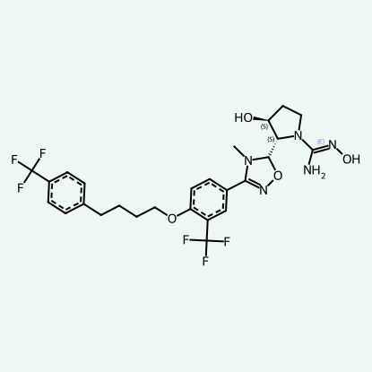 CN1C(c2ccc(OCCCCc3ccc(C(F)(F)F)cc3)c(C(F)(F)F)c2)=NOC1[C@@H]1[C@@H](O)CCN1/C(N)=N/O